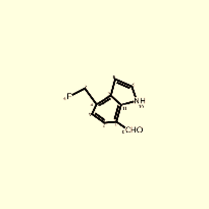 O=Cc1ccc(CF)c2cc[nH]c12